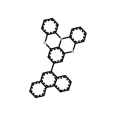 c1ccc2c(c1)Oc1cc(-c3cc4ccccc4c4ccccc34)cc3c1B2c1ccccc1O3